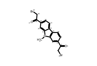 Cn1c2cc(C(=O)CBr)ccc2c2ccc(C(=O)CBr)cc21